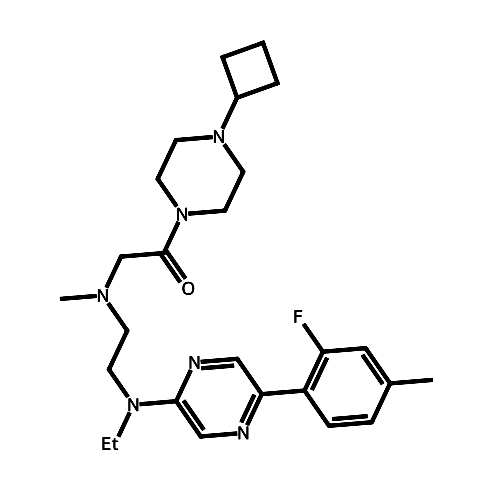 CCN(CCN(C)CC(=O)N1CCN(C2CCC2)CC1)c1cnc(-c2ccc(C)cc2F)cn1